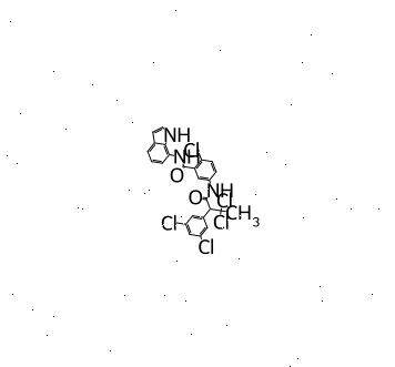 CC(Cl)(Cl)C(C(=O)Nc1ccc(Cl)c(C(=O)Nc2cccc3cc[nH]c23)c1)c1cc(Cl)cc(Cl)c1